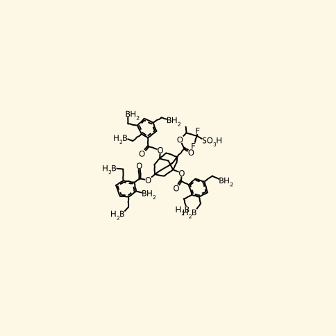 BCc1cc(CB)c(CB)c(C(=O)OC23CC4(OC(=O)c5cc(CB)cc(CB)c5CB)CC(OC(=O)c5c(CB)ccc(CB)c5B)(C2)CC(C(=O)OC(C)C(F)(F)S(=O)(=O)O)(C3)C4)c1